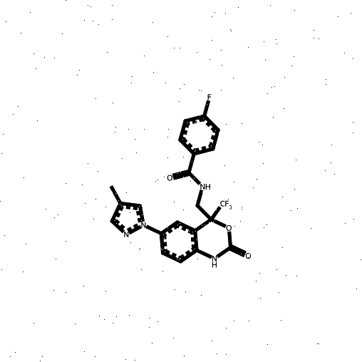 Cc1cnn(-c2ccc3c(c2)C(CNC(=O)c2ccc(F)cc2)(C(F)(F)F)OC(=O)N3)c1